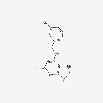 Clc1cccc(CNc2nc(Cl)nc3c2NCN3)c1